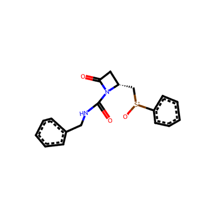 O=C1C[C@H](C[S+]([O-])c2ccccc2)N1C(=O)NCc1ccccc1